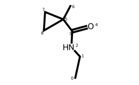 CCNC(=O)C1(C)CC1